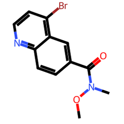 CON(C)C(=O)c1ccc2nccc(Br)c2c1